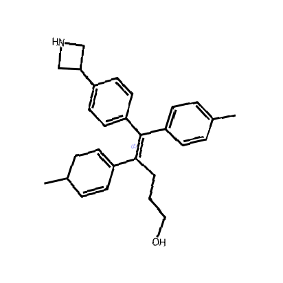 Cc1ccc(/C(=C(\CCCO)C2=CCC(C)C=C2)c2ccc(C3CNC3)cc2)cc1